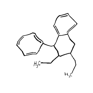 CCC1Cc2ccccc2C(c2ccccc2)C1CC